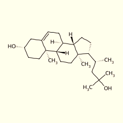 C[C@H](CC(C)(C)O)[C@H]1CC[C@H]2[C@@H]3CC=C4C[C@@H](O)CC[C@]4(C)[C@H]3CC[C@]12C